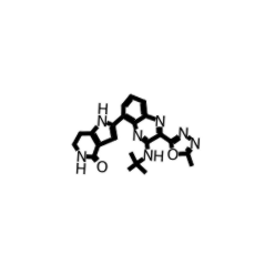 Cc1nnc(-c2nc3cccc(-c4cc5c([nH]4)CCNC5=O)c3nc2NC(C)(C)C)o1